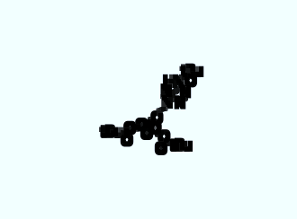 CC(C)(C)C(=O)Nc1ncnc2c1ncn2CCOCP(=O)(OCOC(=O)C(C)(C)C)OCOC(=O)C(C)(C)C